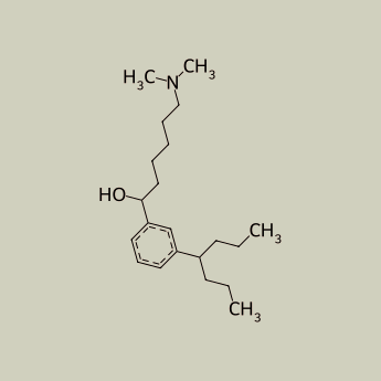 CCCC(CCC)c1cccc(C(O)CCCCCN(C)C)c1